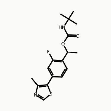 Cc1ncsc1-c1ccc([C@H](C)OC(=O)NC(C)(C)C)c(F)c1